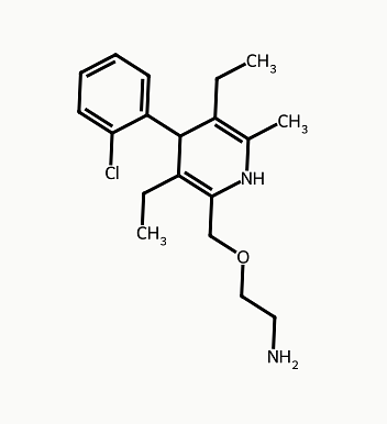 CCC1=C(C)NC(COCCN)=C(CC)C1c1ccccc1Cl